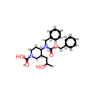 CC(O)CC1CN(C(=O)O)CCC1N(Cc1ccccc1)C(=O)OCc1ccccc1